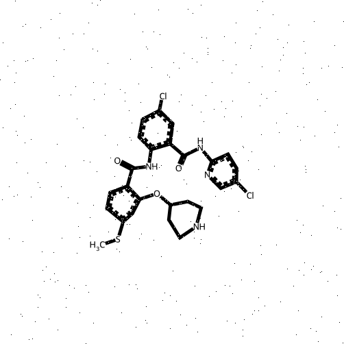 CSc1ccc(C(=O)Nc2ccc(Cl)cc2C(=O)Nc2ccc(Cl)cn2)c(OC2CCNCC2)c1